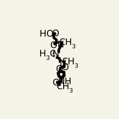 CC(=O)Nc1ccc(OC(=O)N(C)CCCN(C)CCCN(C)C(=O)CCC(=O)O)cc1